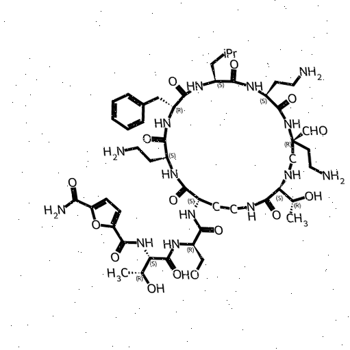 CC(C)C[C@@H]1NC(=O)[C@@H](Cc2ccccc2)NC(=O)[C@H](CCN)NC(=O)[C@@H](NC(=O)[C@@H](CO)NC(=O)[C@@H](NC(=O)c2ccc(C(N)=O)o2)[C@@H](C)O)CCNC(=O)[C@H]([C@@H](C)O)NC[C@@](C=O)(CCN)NC(=O)[C@H](CCN)NC1=O